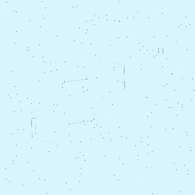 O=C1C2=C(CC(C(=O)O)S2)C(=O)c2sccc21